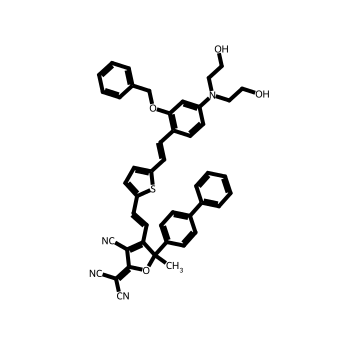 CC1(c2ccc(-c3ccccc3)cc2)OC(=C(C#N)C#N)C(C#N)=C1/C=C/c1ccc(/C=C/c2ccc(N(CCO)CCO)cc2OCc2ccccc2)s1